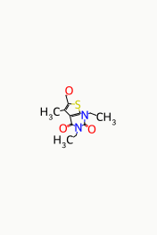 CCn1c(=O)c2c(C)c(C=O)sc2n(CC)c1=O